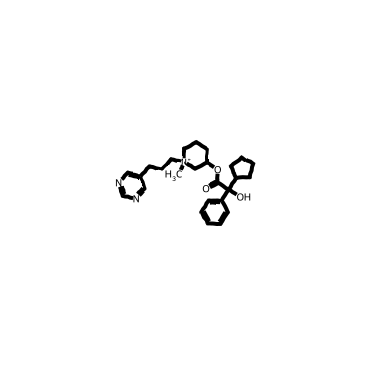 C[N+]1(CCCc2cncnc2)CCCC(OC(=O)C(O)(c2ccccc2)C2CCCC2)C1